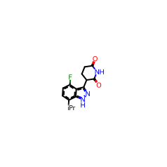 CC(C)c1ccc(F)c2c(C3CCC(=O)NC3=O)n[nH]c12